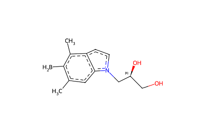 Bc1c(C)cc2c(ccn2C[C@@H](O)CO)c1C